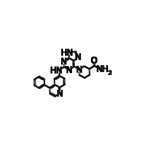 NC(=O)C1CCCN(c2nc(Nc3ccc4nccc(-c5ccccc5)c4c3)nc3[nH]cnc23)C1